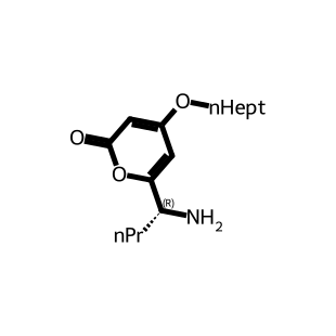 CCCCCCCOc1cc([C@H](N)CCC)oc(=O)c1